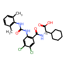 Cc1cccc(C)c1NC(=O)Nc1cc(Cl)c(Cl)cc1C(=O)N[C@H](C(=O)O)C1CCCCC1